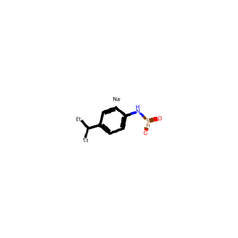 CCC(CC)c1ccc(N[SH](=O)=O)cc1.[Na]